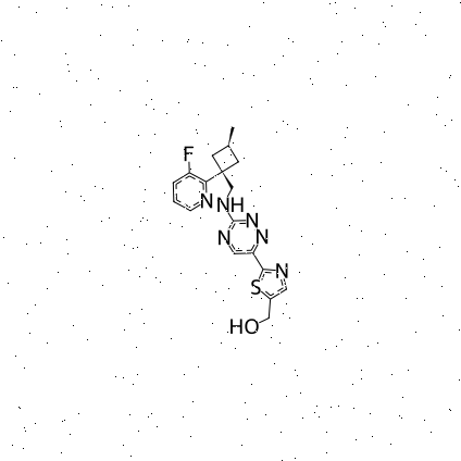 C[C@H]1C[C@](CNc2ncc(-c3ncc(CO)s3)nn2)(c2ncccc2F)C1